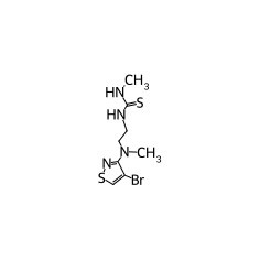 CNC(=S)NCCN(C)c1nscc1Br